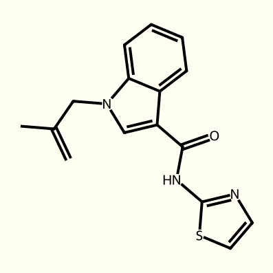 C=C(C)Cn1cc(C(=O)Nc2nccs2)c2ccccc21